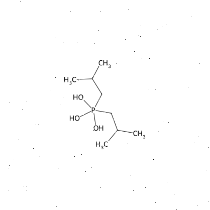 CC(C)CP(O)(O)(O)CC(C)C